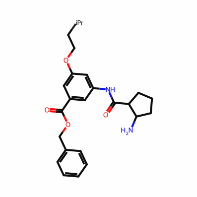 CC(C)CCOc1cc(NC(=O)C2CCCC2N)cc(C(=O)OCc2ccccc2)c1